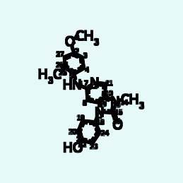 COc1ccc(Nc2cc3c(cn2)n(C)c(=O)n3-c2ccc(O)cc2)c(C)c1